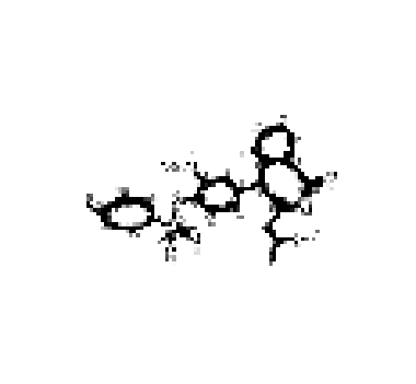 COc1cc(-c2c(CC(C)O)oc(=O)c3ccccc23)ccc1OS(=O)(=O)c1ccc(C)cc1